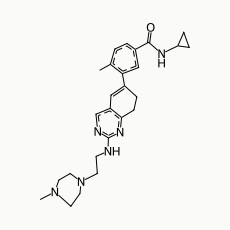 Cc1ccc(C(=O)NC2CC2)cc1C1=Cc2cnc(NCCN3CCN(C)CC3)nc2CC1